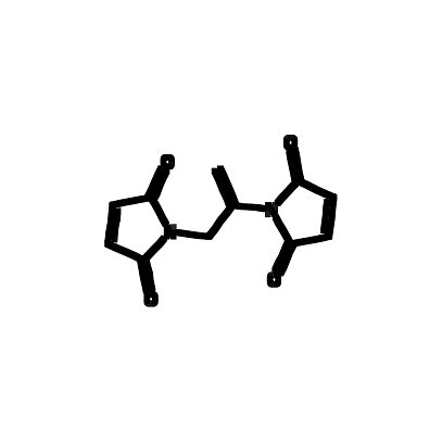 C=C(CN1C(=O)C=CC1=O)N1C(=O)C=CC1=O